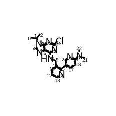 CC(C)n1cnc2c(NCc3cccnc3-c3ccc(N(C)C)nc3)nc(Cl)nc21